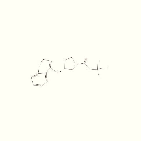 CC(C)(C)OC(=O)N1CC[C@H](Nc2ccnc3ccccc23)C1